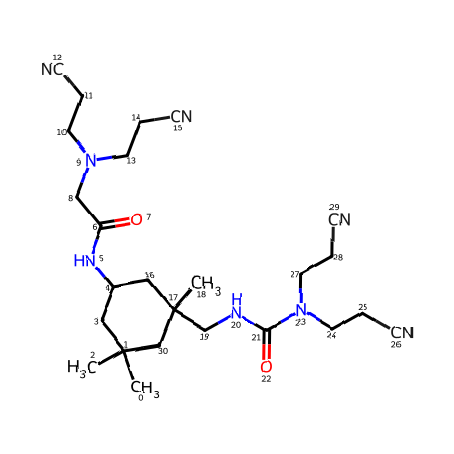 CC1(C)CC(NC(=O)CN(CCC#N)CCC#N)CC(C)(CNC(=O)N(CCC#N)CCC#N)C1